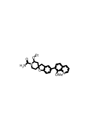 CCOC1CC2(CCN1C(N)=O)Cc1cc(-c3ccc4cccnc4c3OC)ccc1O2